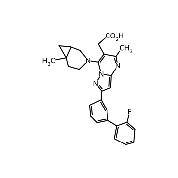 Cc1nc2cc(-c3cccc(-c4ccccc4F)c3)nn2c(N2CCC3(C)CC3C2)c1CC(=O)O